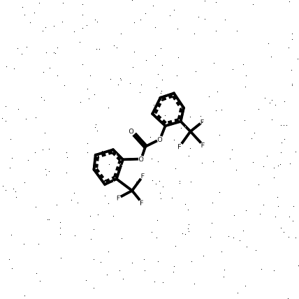 O=C(Oc1ccccc1C(F)(F)F)Oc1ccccc1C(F)(F)F